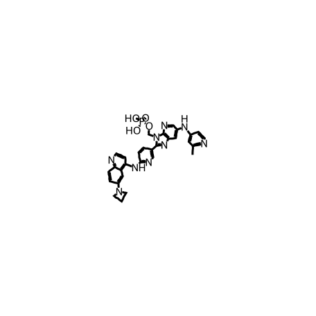 Cc1cc(Nc2cnc3c(c2)nc(-c2ccc(Nc4ccnc5ccc(N6CCC6)cc45)nc2)n3COP(=O)(O)O)ccn1